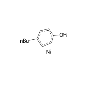 CCCCc1ccc(O)cc1.[Ni]